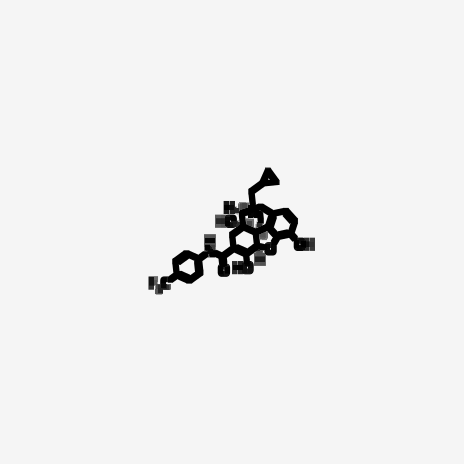 O=C(Nc1ccc(C(F)(F)F)cc1)C1=C(O)[C@@H]2Oc3c(O)ccc4c3[C@@]23CCN(CC2CC2)[C@H](C4)[C@]3(O)C1